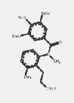 COc1cc(C(=O)N(C)c2cccc(SC)c2CCC(=O)O)cc(OC)c1OC